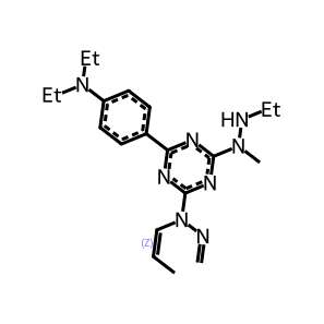 C=NN(/C=C\C)c1nc(-c2ccc(N(CC)CC)cc2)nc(N(C)NCC)n1